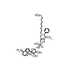 CCCCCCCCCCCCCCCCCCOC[C@H](COP(=O)(O)OC[C@H]1O[C@@](C#N)(c2ccc3c(N)ncnn23)[C@H](O)[C@@H]1O)NC(C)Cc1ccccc1